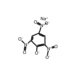 O=[N+]([O-])c1cc([N+](=O)[O-])c([O-])c([N+](=O)[O-])c1.[Na+]